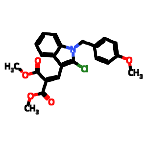 COC(=O)C(=Cc1c(Cl)n(Cc2ccc(OC)cc2)c2ccccc12)C(=O)OC